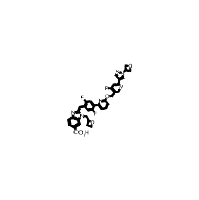 O=C(O)c1ccc2nc(Cc3cc(F)c(-c4cccc(OCc5cnc(-c6cnn(C7COC7)c6)cc5F)n4)cc3F)n(CC3CCO3)c2c1